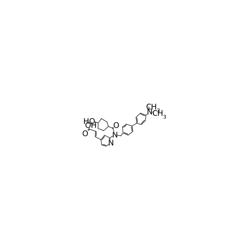 CN(C)c1ccc(-c2ccc(CN(C(=O)C3CCC(O)CC3)c3cc(C=CC(=O)O)ccn3)cc2)cc1